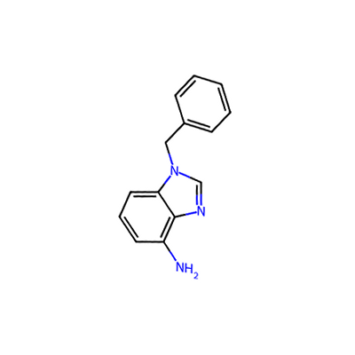 Nc1cccc2c1ncn2Cc1ccccc1